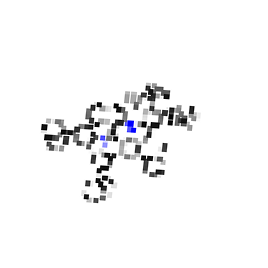 Cc1cc2c(cc1N1c3cc(-c4ccccc4)cc4c3B(c3c1ccc1ccccc31)n1c3ccc(C56CCCC(CCC5)C6)cc3c3cc(C56CCCC(CCC5)C6)cc-4c31)C(C)(C)CCC2(C)C